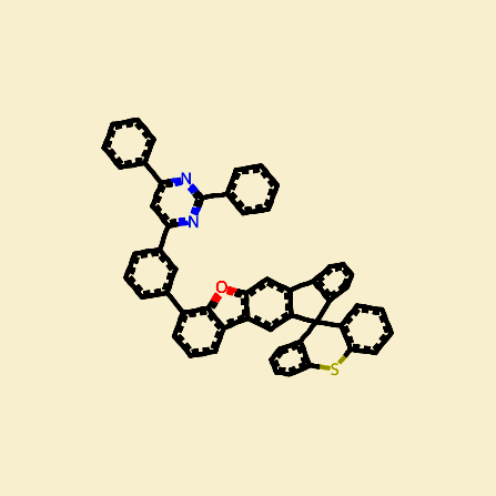 c1ccc(-c2cc(-c3cccc(-c4cccc5c4oc4cc6c(cc45)C4(c5ccccc5Sc5ccccc54)c4ccccc4-6)c3)nc(-c3ccccc3)n2)cc1